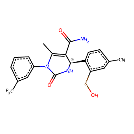 CC1=C(C(N)=O)[C@@H](c2ccc(C#N)cc2SO)NC(=O)N1c1cccc(C(F)(F)F)c1